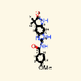 COc1ccc(C(=O)Nc2nc3cc4c(cc3[nH]2)NC(=O)C4(C)C)cc1